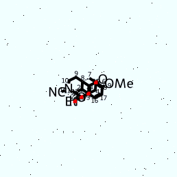 CCO[C@@]12CCC(=O)C[C@@]13CCN(C#N)[C@@H]2Cc1ccc(OC)cc13